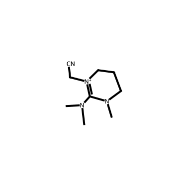 CN(C)C1=[N+](CC#N)CCCN1C